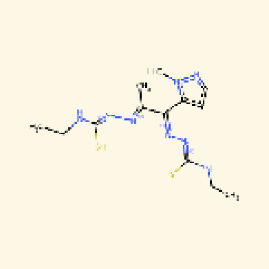 CCN/C(S)=N/N=C(C)/C(=N/N=C(\S)NCC)c1ccnn1C